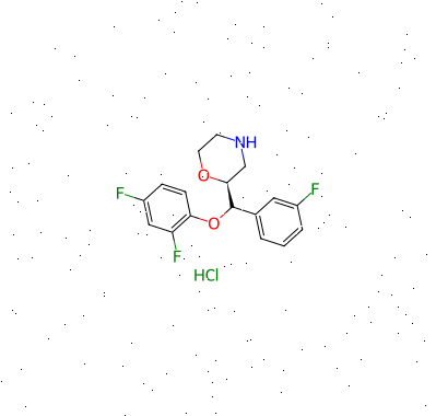 Cl.Fc1cccc(C(Oc2ccc(F)cc2F)[C@@H]2CNCCO2)c1